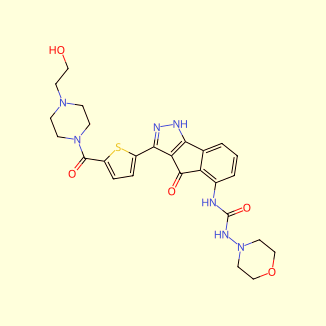 O=C(Nc1cccc2c1C(=O)c1c(-c3ccc(C(=O)N4CCN(CCO)CC4)s3)n[nH]c1-2)NN1CCOCC1